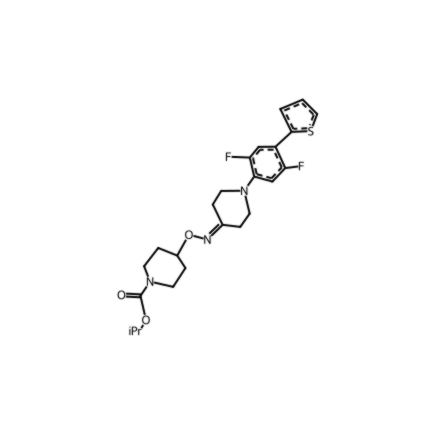 CC(C)OC(=O)N1CCC(ON=C2CCN(c3cc(F)c(-c4cccs4)cc3F)CC2)CC1